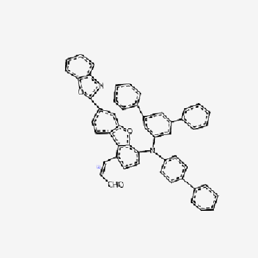 O=C/C=C\c1ccc(N(c2ccc(-c3ccccc3)cc2)c2cc(-c3ccccc3)cc(-c3ccccc3)c2)c2oc3cc(-c4nc5ccccc5o4)ccc3c12